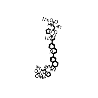 COC(=O)N[C@H](C(=O)N1CCC[C@H]1c1ncc(-c2ccc3nc(-c4ccc5c(c4)CCc4nc([C@@H]6CCCN6C(=O)[C@@H](NC(=O)OC)C(C)C)[nH]c4-5)ccc3c2)[nH]1)C(C)C